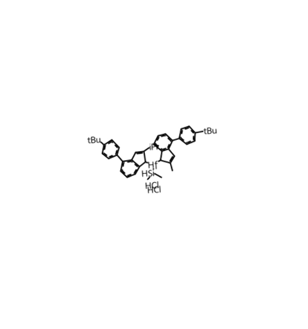 CC1=Cc2c(-c3ccc(C(C)(C)C)cc3)cccc2[CH]1[Hf]([CH]1C(C(C)C)=Cc2c(-c3ccc(C(C)(C)C)cc3)cccc21)[SiH](C)C.Cl.Cl